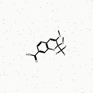 COC1=Cc2ccc(C(=O)O)cc2OC1(OC)C(F)(F)F